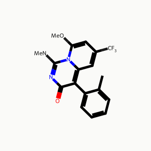 CNc1nc(=O)c(-c2ccccc2C)c2cc(C(F)(F)F)cc(OC)n12